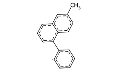 Cc1ccc2c(-c3[c]cccc3)cccc2c1